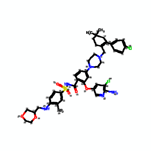 CC1(C)CCC(CN2CCN(c3ccc(C(=O)NS(=O)(=O)c4ccc(NCC5COCCO5)c([N+](=O)[O-])c4)c(Oc4cnc(N)c(Cl)c4)c3)CC2)=C(c2ccc(Cl)cc2)C1